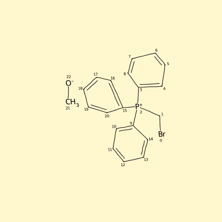 BrC[P+](c1ccccc1)(c1ccccc1)c1ccccc1.C[O-]